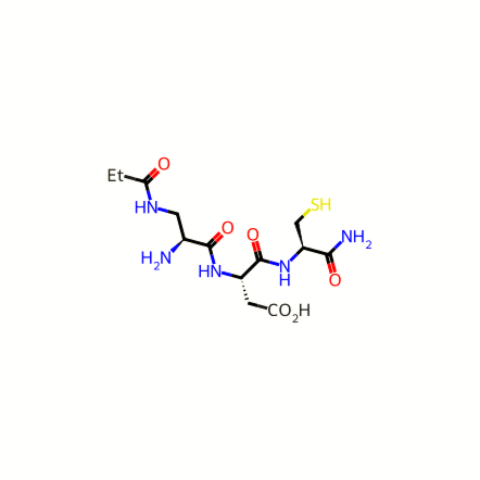 CCC(=O)NC[C@H](N)C(=O)N[C@@H](CC(=O)O)C(=O)N[C@@H](CS)C(N)=O